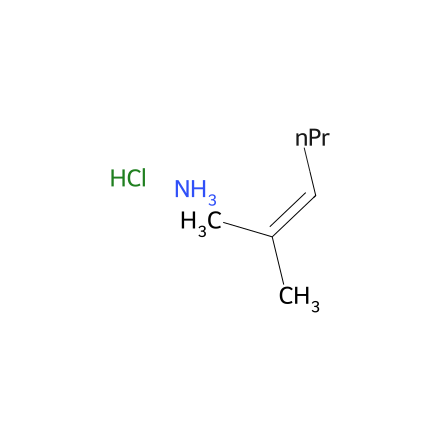 CCCC=C(C)C.Cl.N